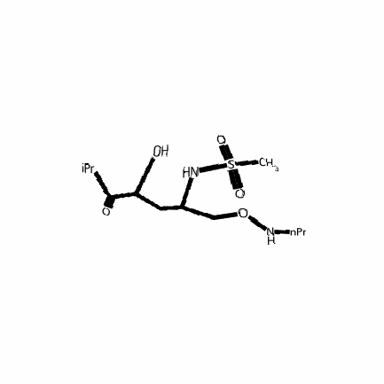 [CH2]CCNOCC(CC(O)C(=O)C(C)C)NS(C)(=O)=O